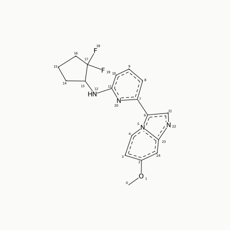 COc1ccn2c(-c3cccc(NC4CCCC4(F)F)n3)cnc2c1